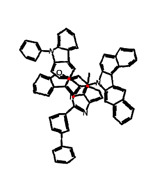 CC1C/C=C(c2cc3c(cc2-n2c4cc5ccccc5cc4c4c5ccccc5ccc42)oc2ccccc23)/N=C(c2cccc(-c3ccccc3)c2)\N=C/1c1ccc2c(c1)c1ccccc1n2-c1ccccc1